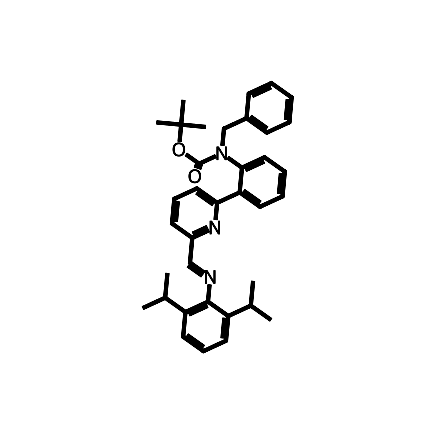 CC(C)c1cccc(C(C)C)c1/N=C/c1cccc(-c2ccccc2N(Cc2ccccc2)C(=O)OC(C)(C)C)n1